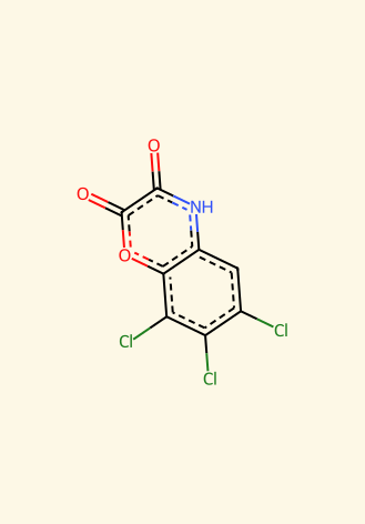 O=c1[nH]c2cc(Cl)c(Cl)c(Cl)c2oc1=O